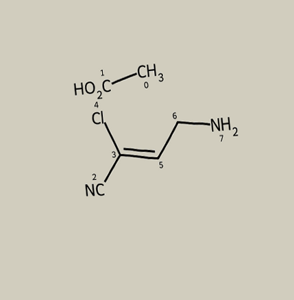 CC(=O)O.N#CC(Cl)=CCN